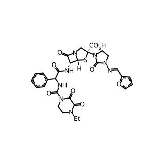 CCN1CCN(C(=O)NC(C(=O)N[C@@H]2C(=O)N3C[C@@](C(=O)O)(N4CCN(/N=C/c5ccco5)C4=O)S[C@H]23)c2ccccc2)C(=O)C1=O